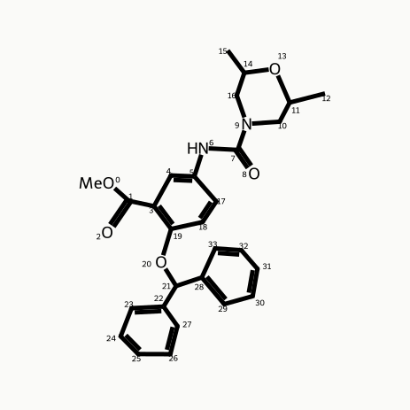 COC(=O)c1cc(NC(=O)N2CC(C)OC(C)C2)ccc1OC(c1ccccc1)c1ccccc1